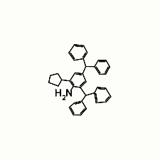 Nc1c(C2CCCC2)cc(C(c2ccccc2)c2ccccc2)cc1C(c1ccccc1)c1ccccc1